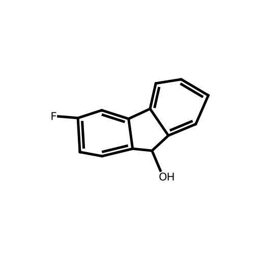 OC1c2ccccc2-c2cc(F)ccc21